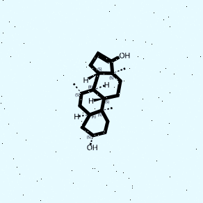 C[C@H]1C[C@@H]2C[C@@H](O)CC[C@]2(C)[C@H]2CC[C@]3(C)C(O)=CC[C@H]3[C@H]12